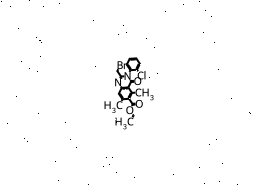 CCOC(=O)c1c(C)cc2nc(CBr)n(-c3ccccc3Cl)c(=O)c2c1C